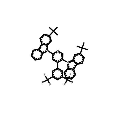 CC(C)(C)c1ccc2c3ccccc3n(-c3cc(-c4cc(C(F)(F)F)cc(C(F)(F)F)c4)c(-n4c5ccccc5c5ccc(C(C)(C)C)cc54)cn3)c2c1